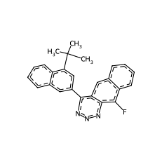 CC(C)(C)c1cc(-c2nnnc3c(F)c4ccccc4cc23)cc2ccccc12